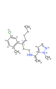 C=C(NCC/C(=C/CCC)c1cc(Cl)ccc1C)c1ccnn1C